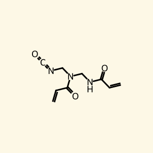 C=CC(=O)NCN(CN=C=O)C(=O)C=C